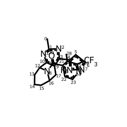 Cc1nc(-c2ccn[nH]2)c2c(n1)C1CCCC(C2)N1C(=O)c1ccnc(C(F)(F)F)c1C